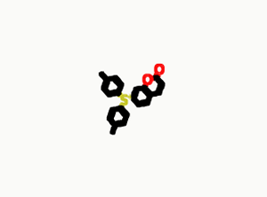 Cc1ccc([S+](c2ccc(C)cc2)c2ccc3ccc(=O)oc3c2)cc1